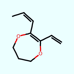 C=CC1=C(/C=C\C)OCCCO1